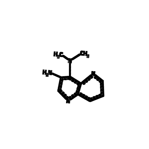 CN(C)c1c(N)cnc2cccnc12